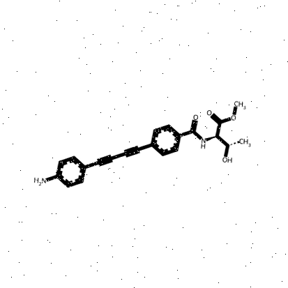 COC(=O)[C@H](NC(=O)c1ccc(C#CC#Cc2ccc(N)cc2)cc1)[C@H](C)O